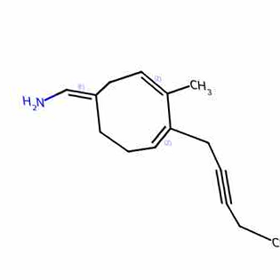 CCC#CCC1=C/CC/C(=C\N)C/C=C\1C